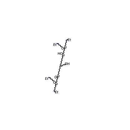 CC/C=C\CCCCOC(CCCC(=O)OCCCCCCCN(CCCO)CCCCCCCOC(O)CCCC(OCCCC/C=C\CC)OCCCC/C=C\CC)OCCCC/C=C\CC